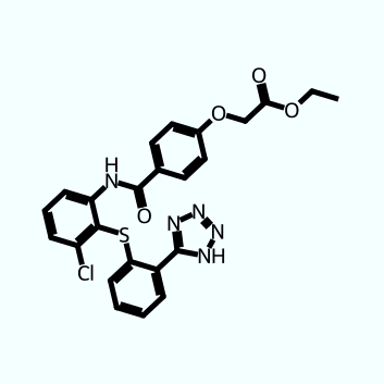 CCOC(=O)COc1ccc(C(=O)Nc2cccc(Cl)c2Sc2ccccc2-c2nnn[nH]2)cc1